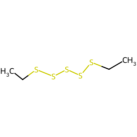 CCSSSSSCC